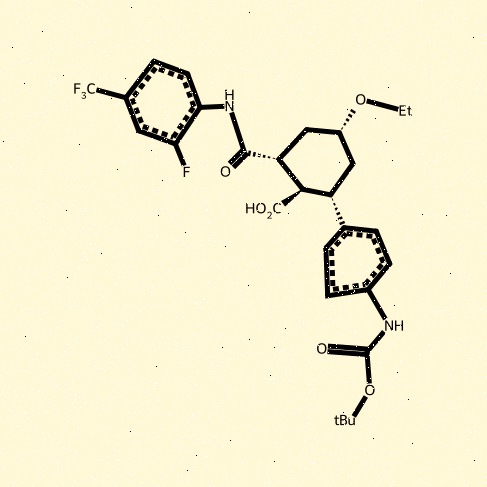 CCO[C@@H]1C[C@H](c2ccc(NC(=O)OC(C)(C)C)cc2)[C@@H](C(=O)O)[C@H](C(=O)Nc2ccc(C(F)(F)F)cc2F)C1